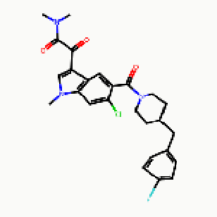 CN(C)C(=O)C(=O)c1cn(C)c2cc(Cl)c(C(=O)N3CCC(Cc4ccc(F)cc4)CC3)cc12